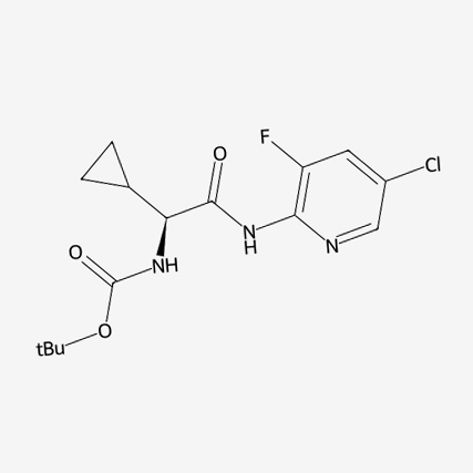 CC(C)(C)OC(=O)N[C@H](C(=O)Nc1ncc(Cl)cc1F)C1CC1